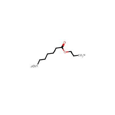 CCCCCCCCCCCCCC(=O)OCCC(=O)O